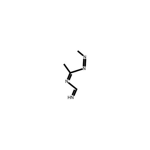 C/N=N\C(C)=N/C=N